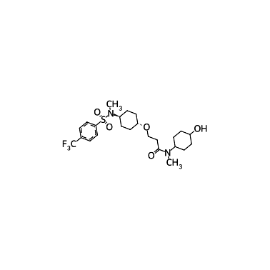 CN(C(=O)CCO[C@H]1CC[C@H](N(C)S(=O)(=O)c2ccc(C(F)(F)F)cc2)CC1)C1CCC(O)CC1